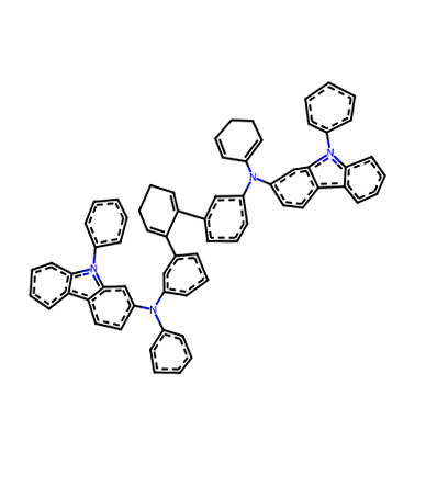 C1=CC(N(c2cccc(C3=CCCC=C3c3cccc(N(c4ccccc4)c4ccc5c6ccccc6n(-c6ccccc6)c5c4)c3)c2)c2ccc3c4ccccc4n(-c4ccccc4)c3c2)=CCC1